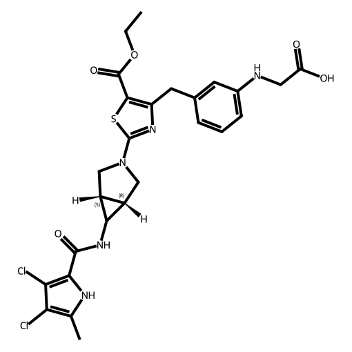 CCOC(=O)c1sc(N2C[C@@H]3C(NC(=O)c4[nH]c(C)c(Cl)c4Cl)[C@@H]3C2)nc1Cc1cccc(NCC(=O)O)c1